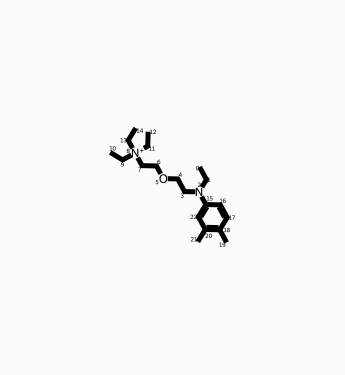 CCN(CCOCC[N+](CC)(CC)CC)c1ccc(C)c(C)c1